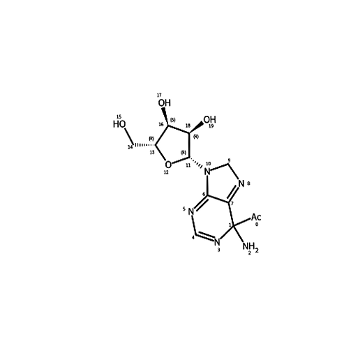 CC(=O)C1(N)N=CN=C2C1=NCN2[C@@H]1O[C@H](CO)[C@@H](O)[C@H]1O